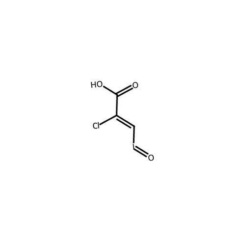 O=IC=C(Cl)C(=O)O